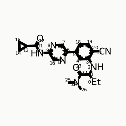 CCC(Nc1cc(-c2cnc(NC(=O)C3CC3)cn2)ccc1C#N)C(=O)N(C)C